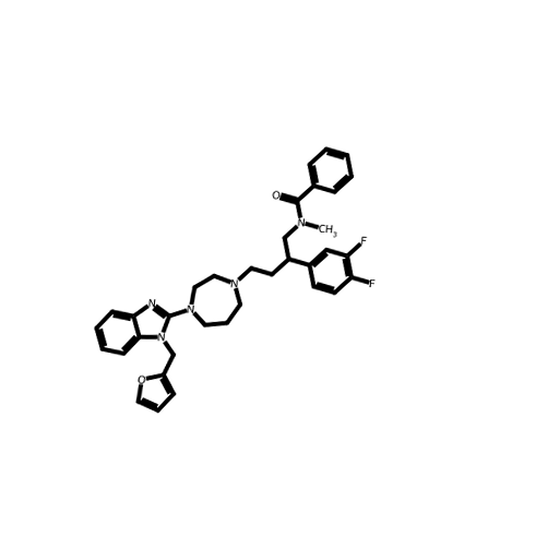 CN(CC(CCN1CCCN(c2nc3ccccc3n2Cc2ccco2)CC1)c1ccc(F)c(F)c1)C(=O)c1ccccc1